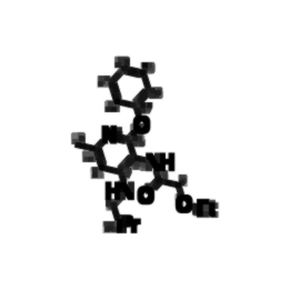 CCOCC(=O)Nc1c(NCC(C)C)cc(C)nc1Oc1ccccc1